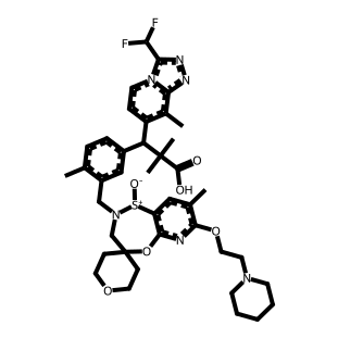 Cc1ccc(C(c2ccn3c(C(F)F)nnc3c2C)C(C)(C)C(=O)O)cc1CN1CC2(CCOCC2)Oc2nc(OCCN3CCCCC3)c(C)cc2[S+]1[O-]